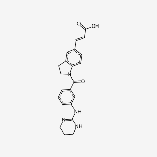 O=C(O)C=Cc1ccc2c(c1)CCN2C(=O)c1cccc(NC2=NCCCN2)c1